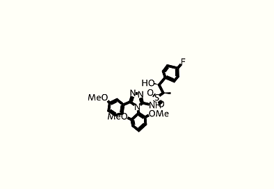 COc1cccc(-c2nnc(NS(=O)(=O)[C@H](C)[C@H](O)c3ccc(F)cc3)n2-c2c(OC)cccc2OC)c1